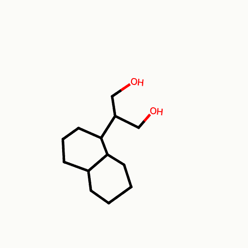 OCC(CO)C1CCCC2CCCCC21